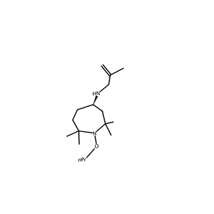 C=C(C)CN[C@@H]1CCC(C)(C)N(OCCC)C(C)(C)C1